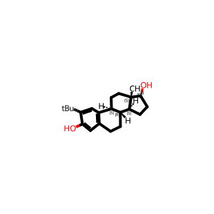 CC(C)(C)c1cc2c(cc1O)CC[C@@H]1[C@@H]2CC[C@]2(C)[C@@H](O)CC[C@@H]12